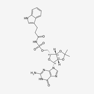 CC1(C)O[C@@H]2[C@H](O1)[C@H](n1cnc3c(=O)[nH]c(N)nc31)O[C@@H]2COS(=O)(=O)NC(=O)CCc1c[nH]c2ccccc12